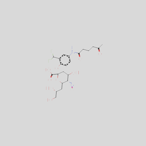 CC(=O)CCCC(=O)Nc1ccc(O[C@]2(C(=O)O)CC(O)[C@@H](N=O)C(C[C@H](O)CO)O2)c(C(F)F)c1